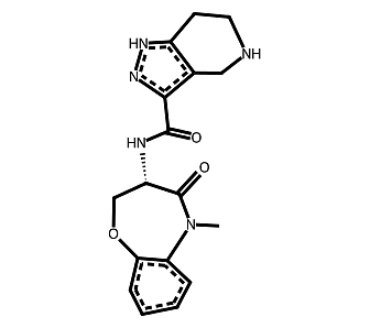 CN1C(=O)[C@@H](NC(=O)c2n[nH]c3c2CNCC3)COc2ccccc21